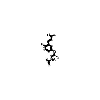 CC(=O)/C=C/c1cc(O[C@@H](C)CNC(C)C)ccc1F